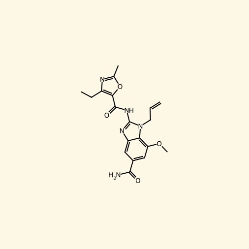 C=CCn1c(NC(=O)c2oc(C)nc2CC)nc2cc(C(N)=O)cc(OC)c21